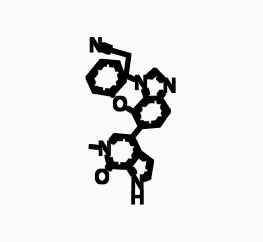 Cn1cc(-c2ccc3ncn(CCC#N)c3c2Oc2ccccc2)c2cc[nH]c2c1=O